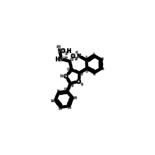 O=[N+]([O-])c1ccccc1C1OC(c2ccccc2)OC1CNS(=O)(=O)O